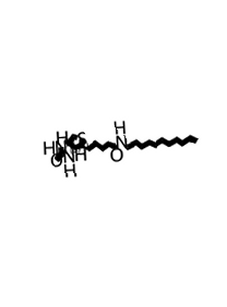 C=CCCCCCCCCCNC(=O)CCCC[C@@H]1SC[C@@H]2NC(=O)N[C@@H]21